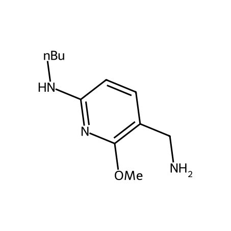 CCCCNc1ccc(CN)c(OC)n1